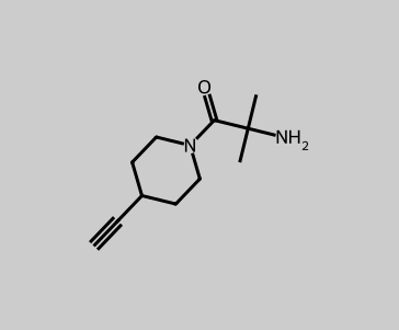 C#CC1CCN(C(=O)C(C)(C)N)CC1